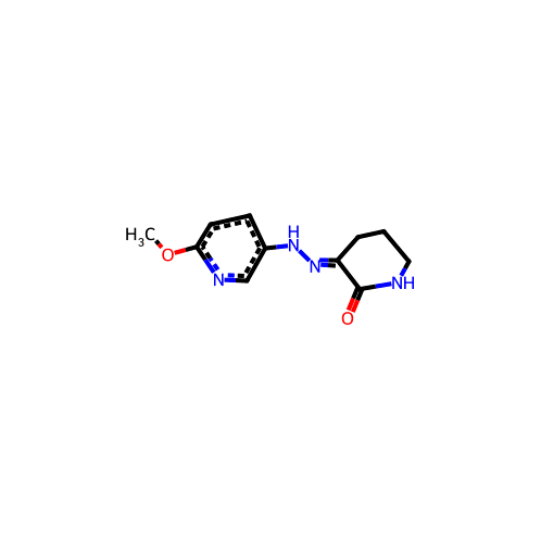 COc1ccc(N/N=C2\CCCNC2=O)cn1